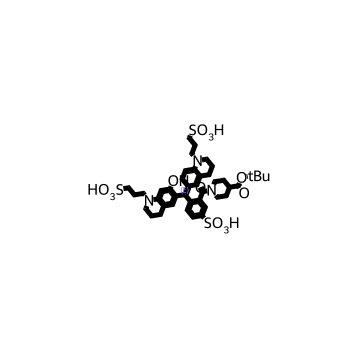 CC(C)(C)OC(=O)C1CCN(C(=O)c2cc(S(=O)(=O)O)ccc2/C(=C2\C=C3CCCN(CCCS(=O)(=O)O)C3=CC2)c2cc3c(cc2O)N(CCCS(=O)(=O)O)CCC3)CC1